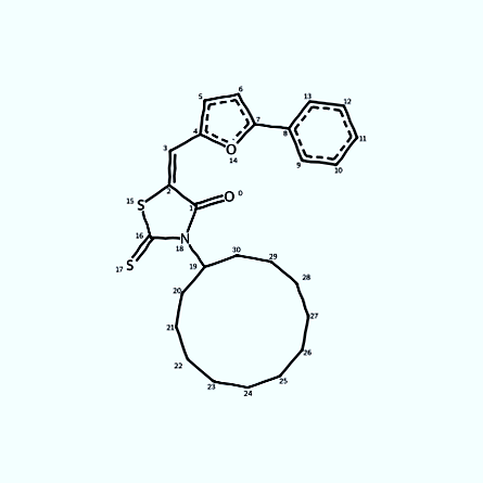 O=C1/C(=C\c2ccc(-c3ccccc3)o2)SC(=S)N1C1CCCCCCCCCCC1